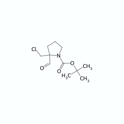 CC(C)(C)OC(=O)N1CCCC1(C=O)CCl